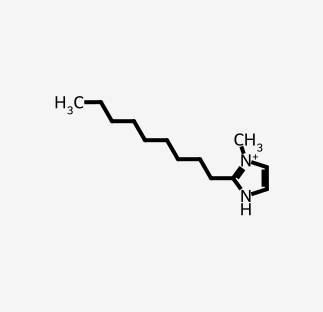 CCCCCCCCCc1[nH]cc[n+]1C